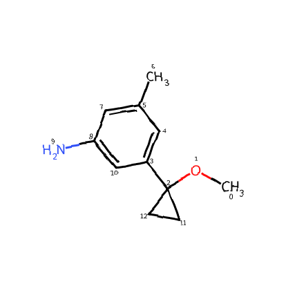 COC1(c2cc(C)cc(N)c2)CC1